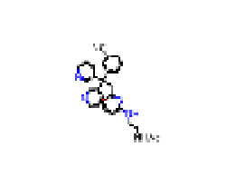 CC(=O)NCCNc1cccc(CC(c2cccnc2)(c2cccnc2)c2cccc(C#N)c2)n1